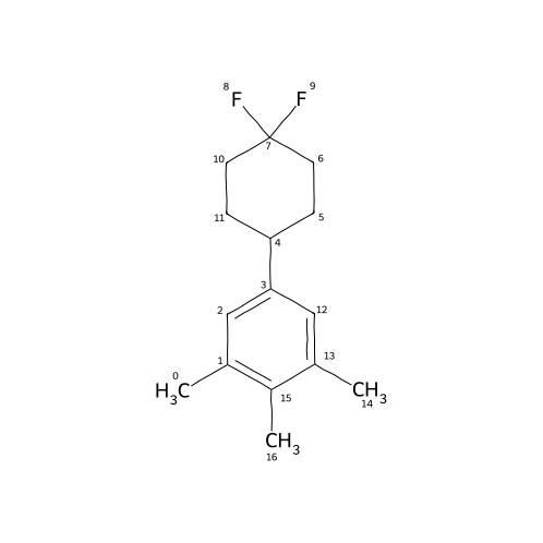 Cc1cc(C2CCC(F)(F)CC2)cc(C)c1C